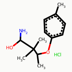 Cc1ccc(OC(C)C(C)(C)C(N)O)cc1.Cl